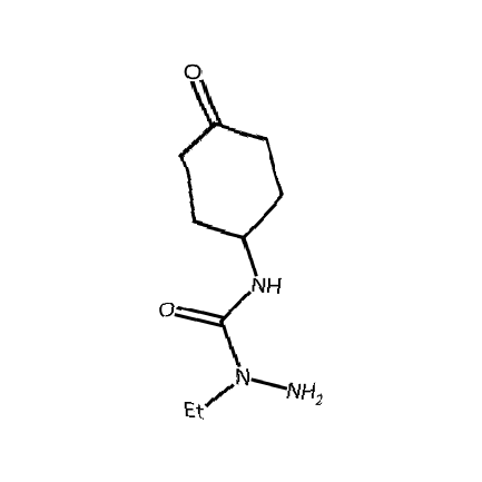 CCN(N)C(=O)NC1CCC(=O)CC1